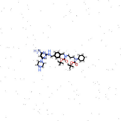 CC(C)(C)OC(=O)N(CCCN(C(=O)OC(C)(C)C)C1CCCCC1)Cc1ccc(CNc2nc(N)cc(N3CCNCC3)n2)cc1